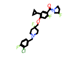 O=C(c1cc(C2CC2)c(OCC2(F)CCN(Cc3ccc(F)c(Cl)c3)CC2)cc1F)N1CCC(F)C1